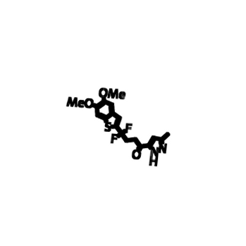 COc1cc2cc(C(F)(F)CCC(=O)c3cc(C)n[nH]3)sc2cc1OC